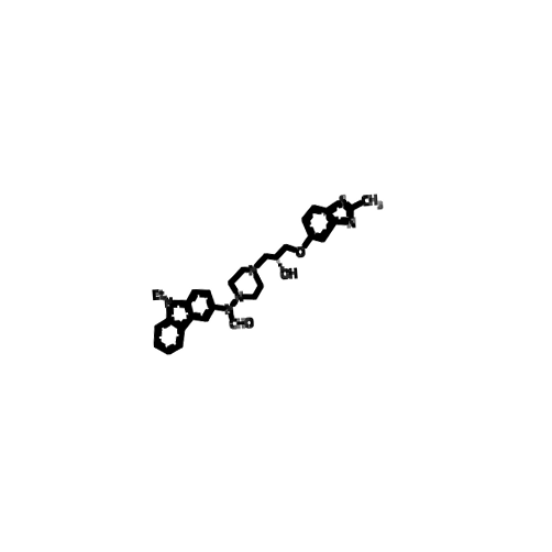 CCn1c2ccccc2c2cc(N(C=O)N3CCN(C[C@@H](O)COc4ccc5sc(C)nc5c4)CC3)ccc21